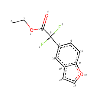 CCOC(=O)C(F)(F)c1ccc2occc2c1